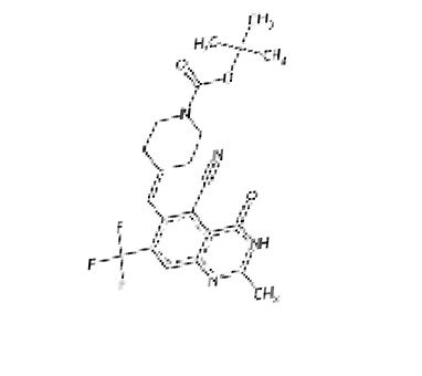 Cc1nc2cc(C(F)(F)F)c(C=C3CCN(C(=O)OC(C)(C)C)CC3)c(C#N)c2c(=O)[nH]1